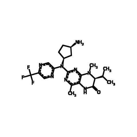 Cc1nc(N(c2cnc(C(F)(F)F)cn2)[C@H]2CC[C@@H](N)C2)nc2c1NC(=O)[C@H](C(C)C)N2C